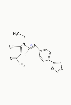 CCn1c(C)c(C(C)=O)s/c1=N\c1ccc(-c2cnco2)cc1